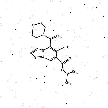 C=C(c1c(C)c(C(=O)OC(C)C)cc2cncn12)N1CCOCC1